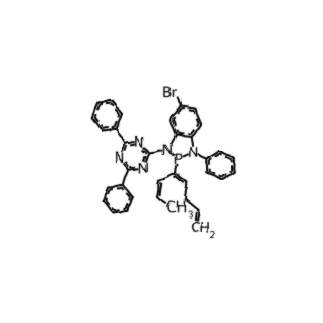 C=CC/C=C(\C=C/C)P1N(c2ccccc2)c2ccc(Br)cc2N1c1nc(-c2ccccc2)nc(-c2ccccc2)n1